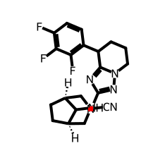 N#CN1C[C@H]2CC[C@@H](C1)C2Nc1nc2n(n1)CCCC2c1ccc(F)c(F)c1F